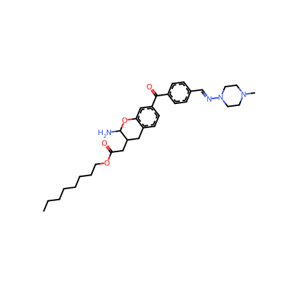 CCCCCCCCOC(=O)CC1Cc2ccc(C(=O)c3ccc(C=NN4CCN(C)CC4)cc3)cc2OC1N